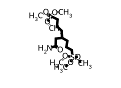 CO[Si](CCCC(CCC[Si](OC)(OC)OC)CC(N)=O)(OC)OC